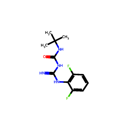 CC(C)(C)NC(=O)NC(=N)Nc1c(F)cccc1F